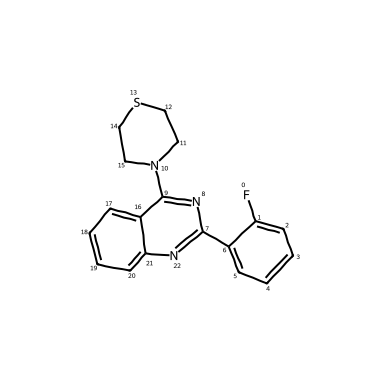 Fc1ccccc1-c1nc(N2CCSCC2)c2ccccc2n1